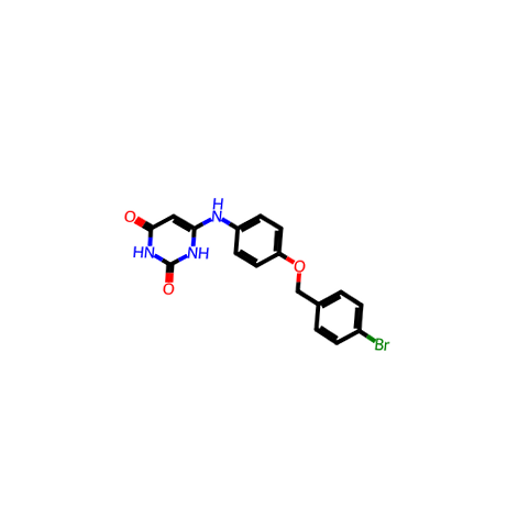 O=c1cc(Nc2ccc(OCc3ccc(Br)cc3)cc2)[nH]c(=O)[nH]1